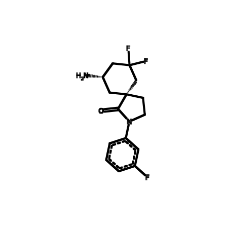 N[C@@H]1CC(F)(F)C[C@@]2(CCN(c3cccc(F)c3)C2=O)C1